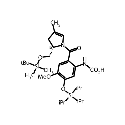 COc1cc(C(=O)N2C=C(C)C[C@H]2CO[Si](C)(C)C(C)(C)C)c(NC(=O)O)cc1O[Si](C(C)C)(C(C)C)C(C)C